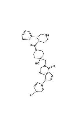 O=C([C@@H]1CCNC[C@H]1c1ccccc1)N1CCC(O)(Cn2cnc3c(ccn3-c3ccc(Cl)cc3)c2=O)CC1